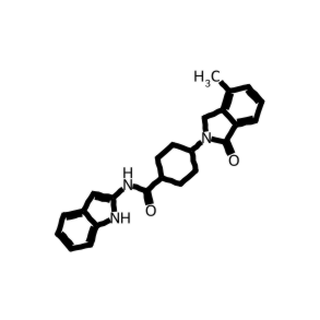 Cc1cccc2c1CN(C1CCC(C(=O)Nc3cc4ccccc4[nH]3)CC1)C2=O